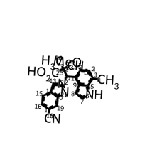 COc1cc(C)c2[nH]ccc2c1C(n1cc2ccc(C#N)cc2n1)C(C)(C)C(=O)O